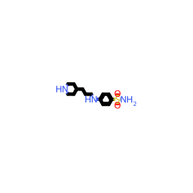 NS(=O)(=O)c1ccc(NCCCC2CCNCC2)cc1